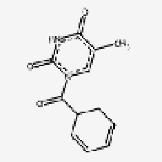 Cc1cn(C(=O)C2C=CC=CC2)c(=O)[nH]c1=O